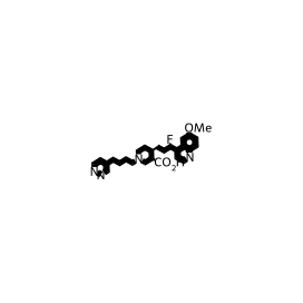 COc1ccc2nccc([C@@H](F)CC[C@@H]3CCN(CCCCc4ccnnc4)C[C@@H]3C(=O)O)c2c1